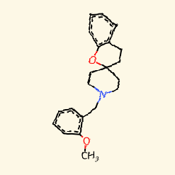 COc1ccccc1CN1CCC2(CCc3ccccc3O2)CC1